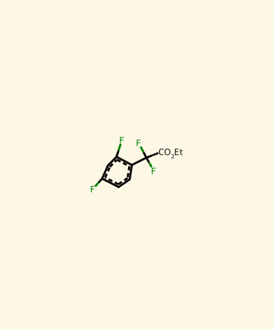 CCOC(=O)C(F)(F)c1ccc(F)cc1F